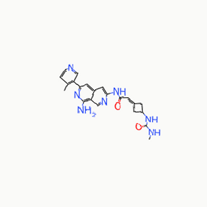 CNC(=O)NC1CC(=CC(=O)Nc2cc3cc(-c4cnccc4C)nc(N)c3cn2)C1